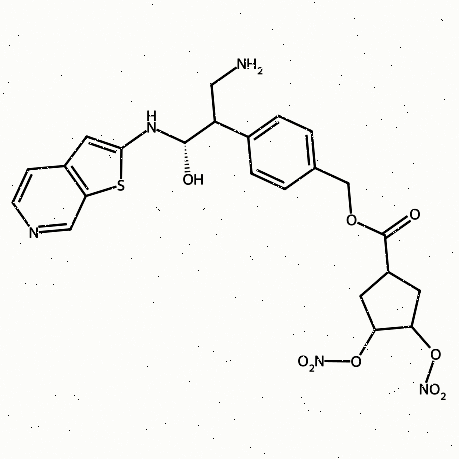 NCC(c1ccc(COC(=O)C2CC(O[N+](=O)[O-])C(O[N+](=O)[O-])C2)cc1)[C@H](O)Nc1cc2ccncc2s1